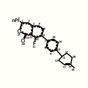 CCCc1cc2ccc(-c3ccc(C4CC=C(C)CC4)cc3)c(F)c2c(=O)o1